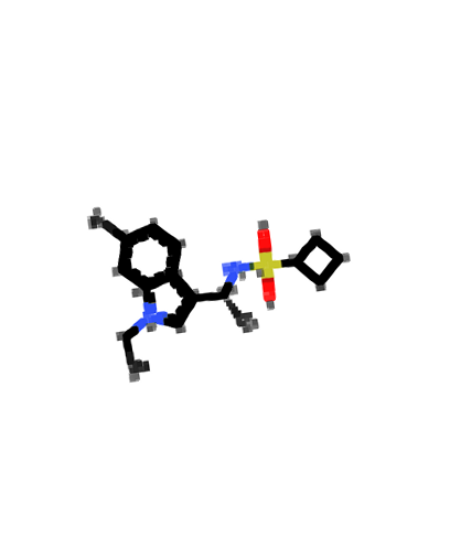 CC(C)c1ccc2c([C@H](NS(=O)(=O)C3CCC3)C(F)(F)F)cn(CC(C)(C)C)c2c1